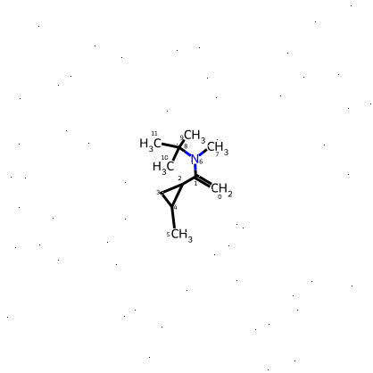 C=C(C1CC1C)N(C)C(C)(C)C